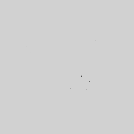 CO[C@](F)(COP(=O)(OCOC(=O)OC(C)C)OCOC(=O)OC(C)C)[C@@H](O)[C@@](C)(O)n1ccc(=O)[nH]c1=O